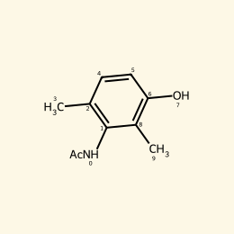 CC(=O)Nc1c(C)ccc(O)c1C